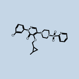 CC1CC1COc1c(N2CCN(S(=O)(=O)c3ccccn3)CC2)cnn(-c2cccc(Cl)c2)c1=O